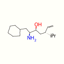 C=C[C@@H](C[C@H](O)[C@@H](N)CC1CCCCC1)C(C)C